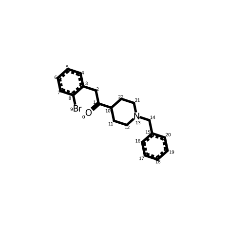 O=C(Cc1ccccc1Br)C1CCN(Cc2ccccc2)CC1